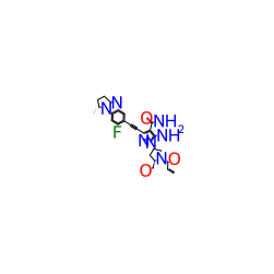 C=CC(=O)N1C[C@@H](n2nc(C#Cc3cc4nc5n(c4cc3F)[C@H](C)CC5)c(C(N)=O)c2NC)C[C@@H]1COC